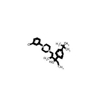 CCC(O)(c1ccc(C(C)(C)C)cc1)C(C)CN1CCN(c2cccc(Cl)c2)CC1